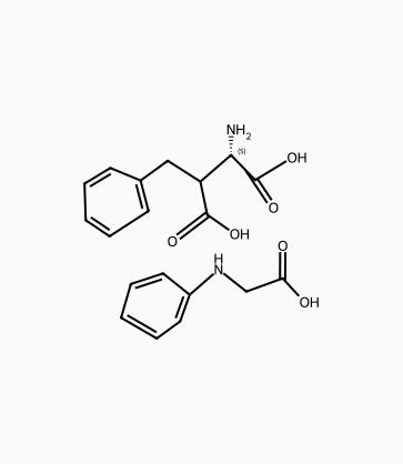 N[C@H](C(=O)O)C(Cc1ccccc1)C(=O)O.O=C(O)CNc1ccccc1